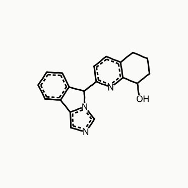 OC1CCCc2ccc(C3c4ccccc4-c4cncn43)nc21